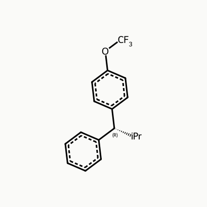 CC(C)[C@H](c1ccccc1)c1ccc(OC(F)(F)F)cc1